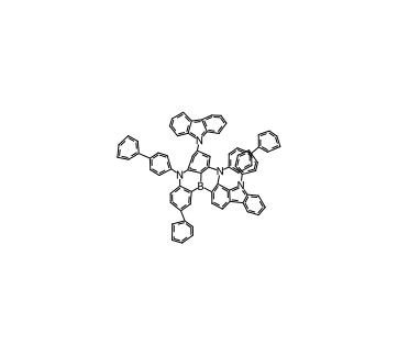 c1ccc(-c2ccc(N3c4ccc(-c5ccccc5)cc4B4c5ccc6c7ccccc7n(-c7ccccc7)c6c5N(c5ccc(-c6ccccc6)cc5)c5cc(-n6c7ccccc7c7ccccc76)cc3c54)cc2)cc1